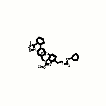 CCOc1nc2c(CCOC(=O)OC3CCCCC3)ccc(C(=O)O)c2n1Cc1ccc(-c2ccccc2-c2nnn[nH]2)cc1